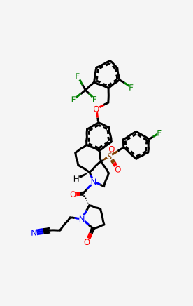 N#CCCN1C(=O)CC[C@H]1C(=O)N1CC[C@@]2(S(=O)(=O)c3ccc(F)cc3)c3ccc(OCc4c(F)cccc4C(F)(F)F)cc3CC[C@@H]12